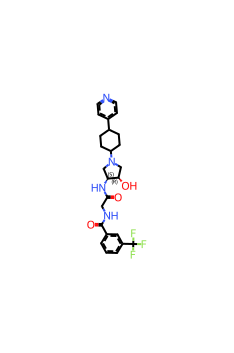 O=C(CNC(=O)c1cccc(C(F)(F)F)c1)N[C@H]1CN(C2CCC(c3ccncc3)CC2)C[C@H]1O